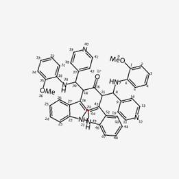 COc1ccccc1NC(c1ccncc1)C(C(=O)C(c1c[nH]c2ccccc12)C(Nc1ccccc1OC)c1ccncc1)c1c[nH]c2ccccc12